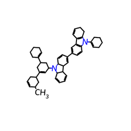 CC1C=CCC(C2=CC(N3C4C=CC=CC4C4C=C(c5ccc6c(c5)c5c(n6C6=CCCCC6)CCC=C5)C=CC43)CC(C3=CCCCC3)C2)C1